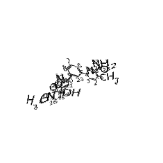 Cc1ccc(-c2cccc(-c3cc([C@]4(O)CCN(C)C4=O)on3)c2)nc1C(N)=O